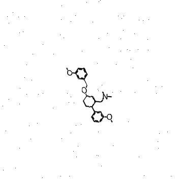 COc1cccc(COC2CCC(c3cccc(OC)c3)C(CN(C)C)C2)c1